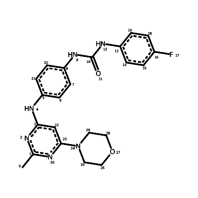 Cc1nc(Nc2ccc(NC(=O)Nc3ccc(F)cc3)cc2)cc(N2CCOCC2)n1